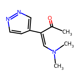 CC(=O)C(=CN(C)C)c1ccnnc1